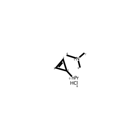 CCCC1C=C1.CN(C)C.Cl